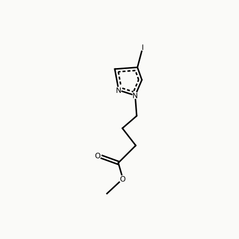 COC(=O)CCCn1cc(I)cn1